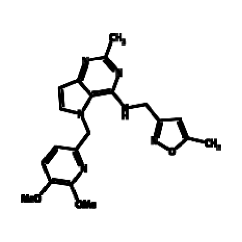 COc1ccc(Cn2ccc3nc(C)nc(NCc4cc(C)on4)c32)nc1OC